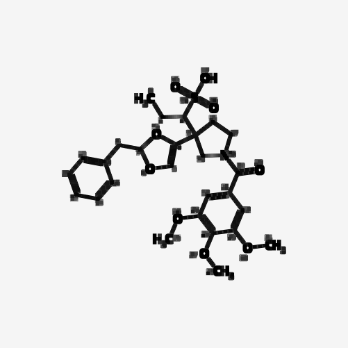 CCC(C1(C2=COC(Cc3ccccc3)O2)CCN(C(=O)c2cc(OC)c(OC)c(OC)c2)C1)S(=O)(=O)O